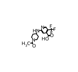 CC(=O)N1CCC(Nc2cc(C(=O)O)c(C(F)(F)F)cn2)CC1